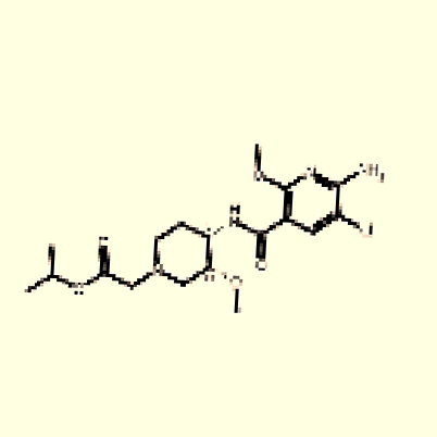 COc1nc(N)c(Cl)cc1C(=O)N[C@H]1CCN(CC(=O)OC(C)C)C[C@H]1OC